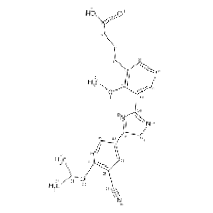 COc1c(CCCC(=O)O)cccc1-c1noc(-c2ccc(OC(C)C)c(C#N)c2)n1